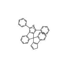 C1=CC2=C(C1)c1ccccc1C21c2ccccc2-c2c(-c3ccccc3)sc(-c3ccccc3)c21